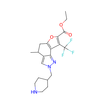 CCOC(=O)c1oc2c(c1C(F)(F)F)-c1nn(CC3CCNCC3)cc1C(C)C2